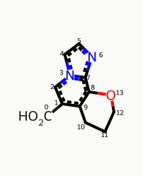 O=C(O)c1cn2ccnc2c2c1CCCO2